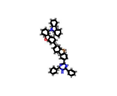 c1ccc(C2=NC(c3ccc4sc5cc(-c6ccc7c(c6)oc6cccc(-n8c9ccccc9c9ccccc98)c67)ccc5c4c3)=NC(c3ccccc3)N2)cc1